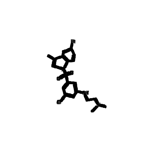 CCc1ccc2c(c1)c(C)cn2S(=O)(=O)c1cc(Cl)cc(NCCN(C)C)c1